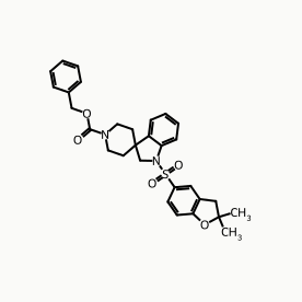 CC1(C)Cc2cc(S(=O)(=O)N3CC4(CCN(C(=O)OCc5ccccc5)CC4)c4ccccc43)ccc2O1